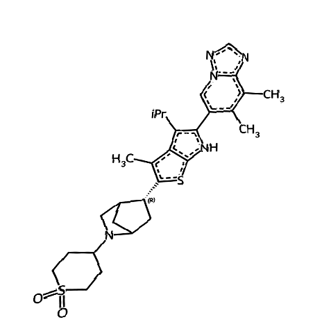 Cc1c(-c2[nH]c3sc([C@@H]4CC5CC4CN5C4CCS(=O)(=O)CC4)c(C)c3c2C(C)C)cn2ncnc2c1C